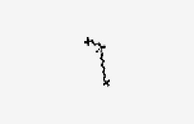 C=C(CCCC(C)(C)C)N(C)CCCCCCCCC(C)(C)C